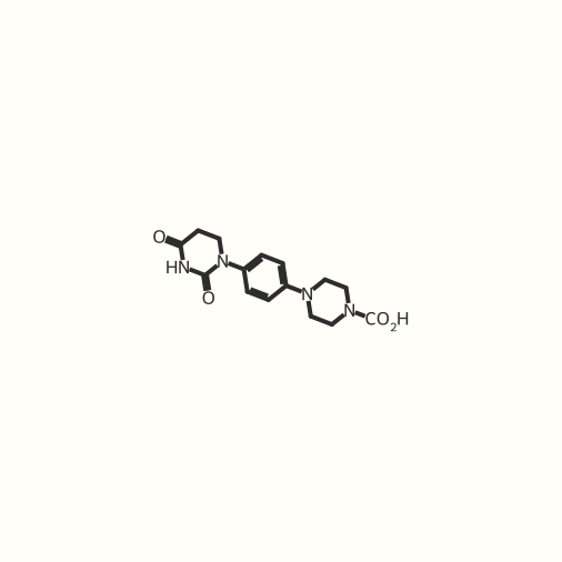 O=C1CCN(c2ccc(N3CCN(C(=O)O)CC3)cc2)C(=O)N1